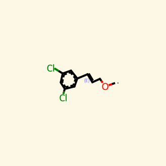 [CH2]OC/C=C/c1cc(Cl)cc(Cl)c1